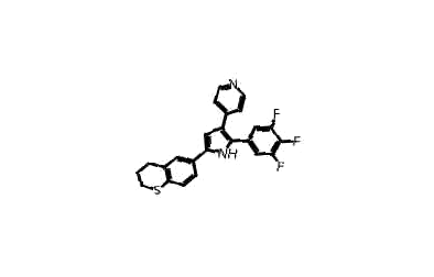 Fc1cc(-c2[nH]c(-c3ccc4c(c3)CCCS4)cc2-c2ccncc2)cc(F)c1F